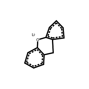 [Li].c1ccc2c(c1)Cc1ccccc1O2